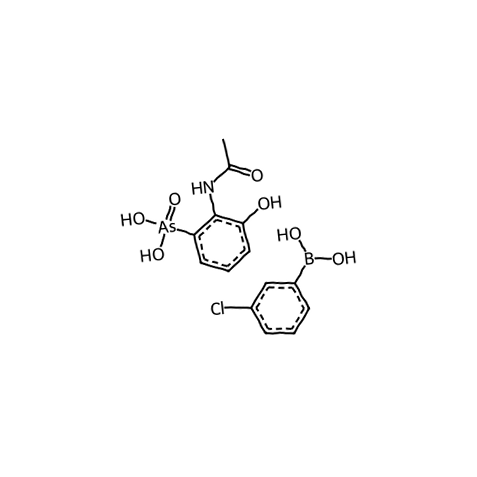 CC(=O)Nc1c(O)cccc1[As](=O)(O)O.OB(O)c1cccc(Cl)c1